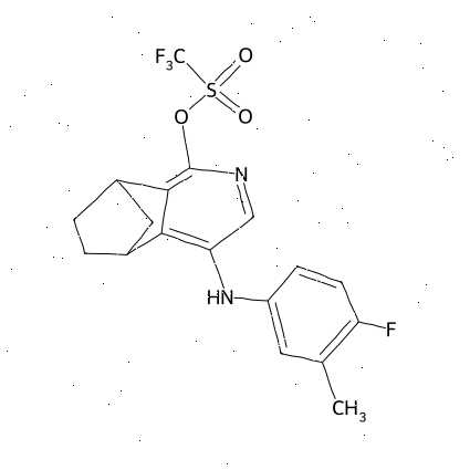 Cc1cc(Nc2cnc(OS(=O)(=O)C(F)(F)F)c3c2C2CCC3C2)ccc1F